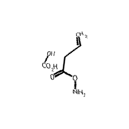 C=CCC(=O)ON.O=C(O)O